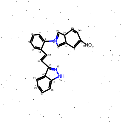 O=[N+]([O-])C1=CC2=C[N+](c3ccccc3/C=C/c3n[nH]c4ccccc34)=CC2C=C1